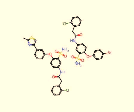 Cc1nc(-c2cccc(Oc3ccc(NC(=O)Cc4ccccc4Cl)cc3S(N)(=O)=O)c2)cs1.NS(=O)(=O)c1cc(NC(=O)Cc2ccccc2Cl)ccc1Oc1ccc(Br)cc1